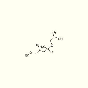 CCCC(O)COC(C)(CC)CC(O)COCC